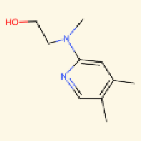 Cc1cnc(N(C)CCO)cc1C